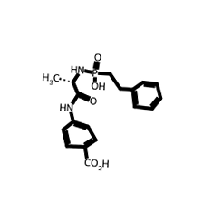 C[C@H](NP(=O)(O)CCc1ccccc1)C(=O)Nc1ccc(C(=O)O)cc1